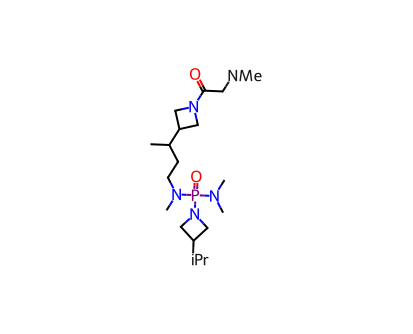 CNCC(=O)N1CC(C(C)CCN(C)P(=O)(N(C)C)N2CC(C(C)C)C2)C1